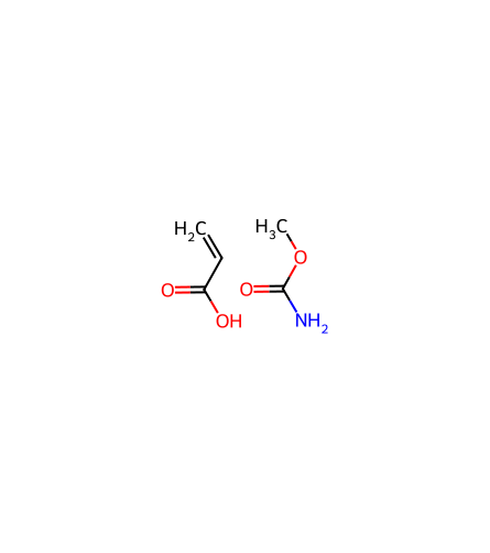 C=CC(=O)O.COC(N)=O